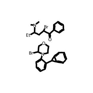 BrC1COCCN1c1ccccc1C1c2ccccc21.CCC(CC(Br)C(=O)c1ccccc1)N(C)C